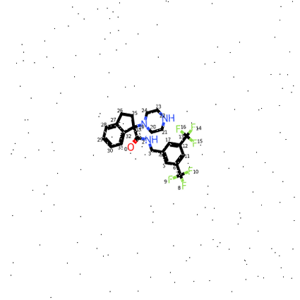 O=C(NCc1cc(C(F)(F)F)cc(C(F)(F)F)c1)C1(N2CCNCC2)CCc2ccccc21